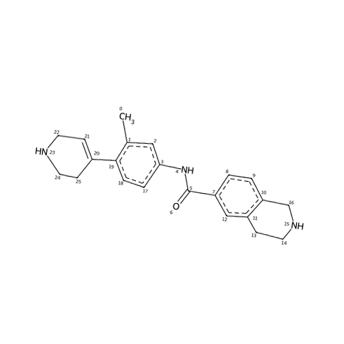 Cc1cc(NC(=O)c2ccc3c(c2)CCNC3)ccc1C1=CCNCC1